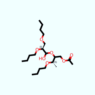 CCCCOC[C@H](OCCCC)C(O)OC(COC(C)=O)[C@H](C)OCCCC